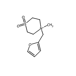 C[N+]1(Cc2ccco2)CCS(=O)(=O)CC1